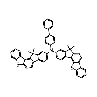 CC1(C)c2cc(N(c3ccc(-c4ccccc4)cc3)c3ccc4c(c3)C(C)(C)c3c-4ccc4sc5ccccc5c34)ccc2-c2c1ccc1c2sc2ccccc21